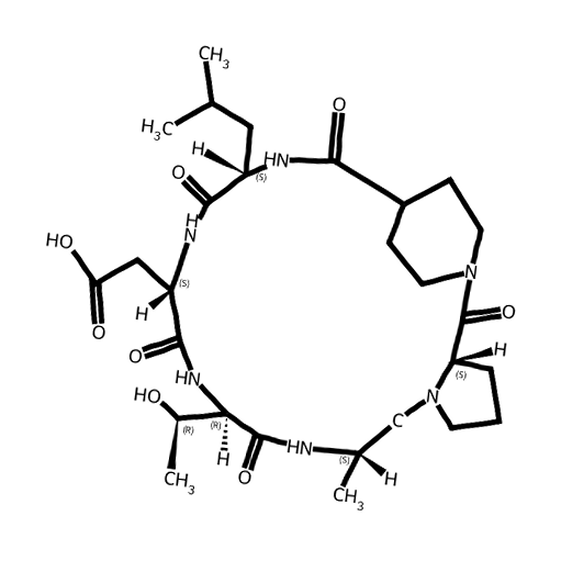 CC(C)C[C@@H]1NC(=O)C2CCN(CC2)C(=O)[C@@H]2CCCN2C[C@H](C)NC(=O)[C@@H]([C@@H](C)O)NC(=O)[C@H](CC(=O)O)NC1=O